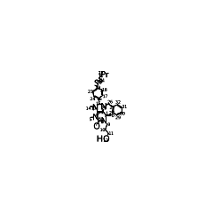 C=C1C2=C(N(C)C(=O)N1CCCO)N(C)C(c1ccc(SSC(C)C)cc1)N2Cc1ccccc1